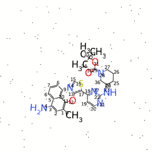 Cc1cc(N)c2ccccc2c1Oc1ncsc1-c1ccnc(N[C@H]2CCCN(C(=O)OC(C)(C)C)C2)n1